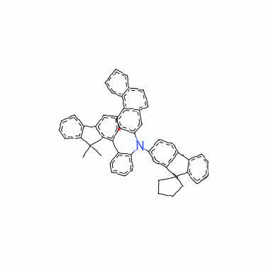 CC1(C)c2ccccc2-c2cccc(-c3ccccc3N(c3ccc4c(c3)C3(CCCC3)c3ccccc3-4)c3ccc4c(ccc5ccccc54)c3)c21